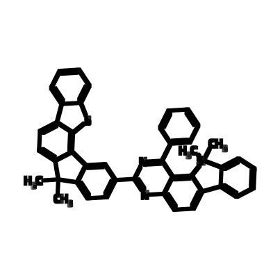 CC1(C)c2ccc(-c3nc(-c4ccccc4)c4c5c(ccc4n3)-c3ccccc3[Si]5(C)C)cc2-c2c1ccc1c2sc2ccccc21